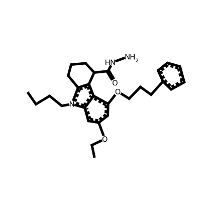 CCCCn1c2c(c3c(OCCCc4ccccc4)cc(OCC)cc31)C(C(=O)NN)CCC2